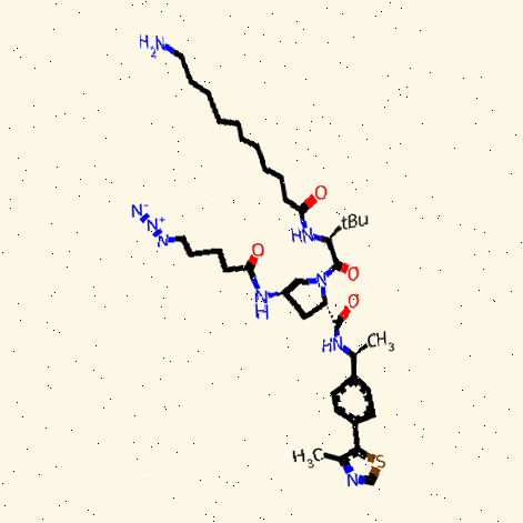 Cc1ncsc1-c1ccc([C@H](C)NC(=O)[C@@H]2C[C@@H](NC(=O)CCCCN=[N+]=[N-])CN2C(=O)[C@@H](NC(=O)CCCCCCCCCCN)C(C)(C)C)cc1